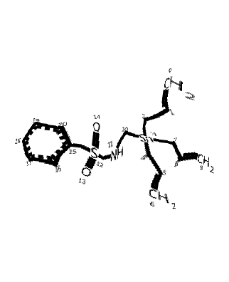 C=C[CH2][Sn]([CH2]C=C)([CH2]C=C)[CH2]NS(=O)(=O)c1ccccc1